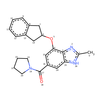 Cc1nc2c(OC3Cc4ccccc4C3)cc(C(=O)N3CCCC3)cc2[nH]1